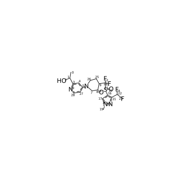 CC(O)c1cc(N2CCC(C(F)(F)S(=O)(=O)c3cn(C)nc3C(F)F)CC2)ccn1